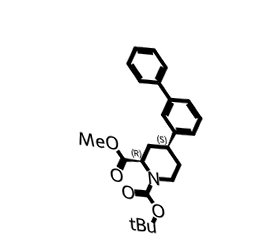 COC(=O)[C@H]1C[C@@H](c2cccc(-c3ccccc3)c2)CCN1C(=O)OC(C)(C)C